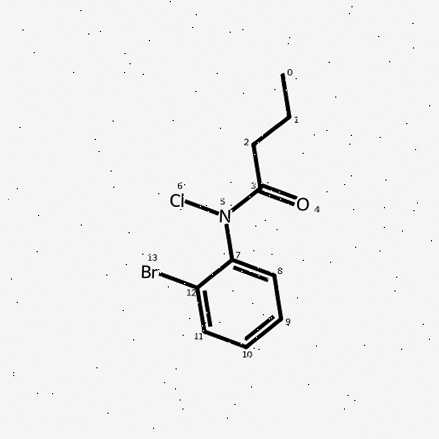 CCCC(=O)N(Cl)c1ccccc1Br